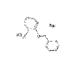 O=C(O)c1ccccc1OCc1ccccc1.[NaH]